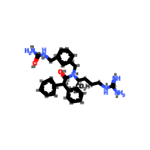 N=C(N)NCCC[C@H](C(=O)O)N(Cc1cccc(CNC(N)=O)c1)C(=O)C(c1ccccc1)c1ccccc1